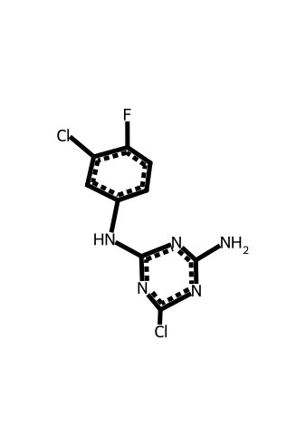 Nc1nc(Cl)nc(Nc2ccc(F)c(Cl)c2)n1